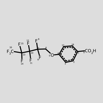 O=C(O)c1ccc(OCC(F)(F)C(F)(F)C(F)(F)C(F)(F)F)cc1